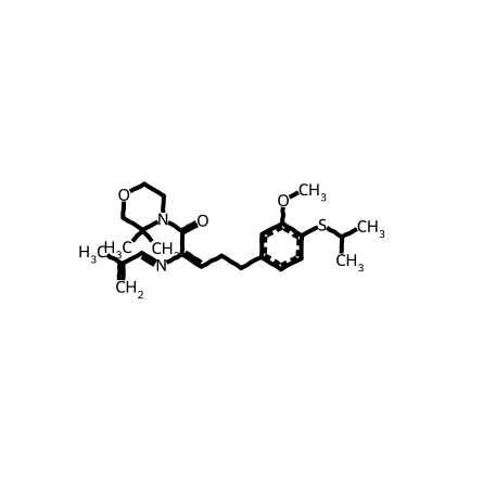 C=C(C)/C=N/C(=C/CCc1ccc(SC(C)C)c(OC)c1)C(=O)N1CCOCC1(C)C